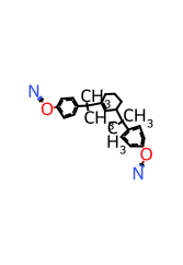 CC(C)(C1=CC(C(C)(C)c2ccc(OC#N)cc2)CCC1)c1ccc(OC#N)cc1